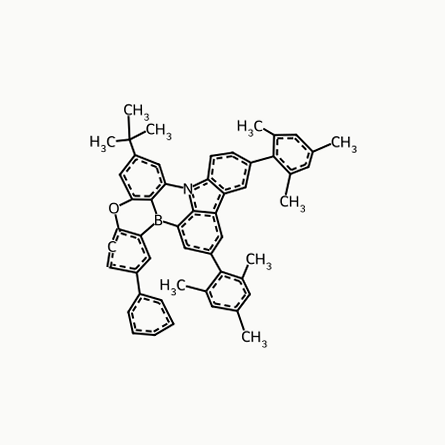 Cc1cc(C)c(-c2ccc3c(c2)c2cc(-c4c(C)cc(C)cc4C)cc4c2n3-c2cc(C(C)(C)C)cc3c2B4c2cc(-c4ccccc4)ccc2O3)c(C)c1